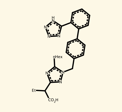 CCCCCCc1nc(C(CC)C(=O)O)nn1Cc1ccc(-c2ccccc2-c2nnn[nH]2)cc1